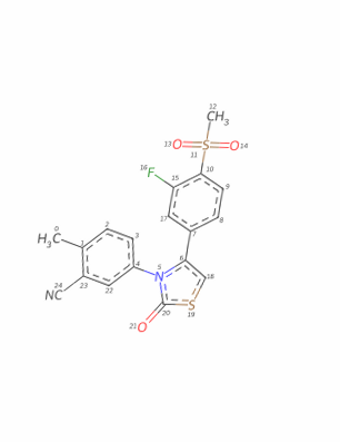 Cc1ccc(-n2c(-c3ccc(S(C)(=O)=O)c(F)c3)csc2=O)cc1C#N